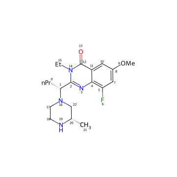 CCC[C@H](c1nc2c(F)cc(OC)cc2c(=O)n1CC)N1CCN[C@@H](C)C1